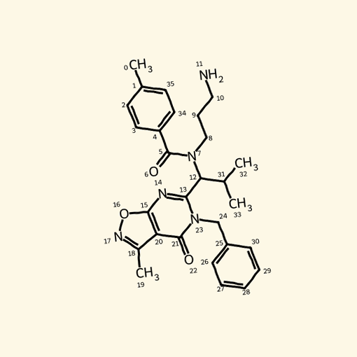 Cc1ccc(C(=O)N(CCCN)C(c2nc3onc(C)c3c(=O)n2Cc2ccccc2)C(C)C)cc1